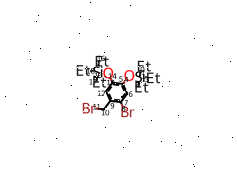 CC[Si](CC)(CC)Oc1cc(Br)c(CBr)cc1O[Si](CC)(CC)CC